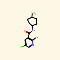 [CH2]C1CCC(NC(=O)c2cc(Cl)cnc2C)CC1